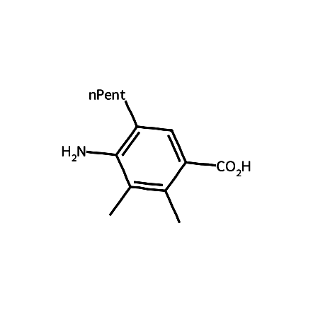 CCCCCc1cc(C(=O)O)c(C)c(C)c1N